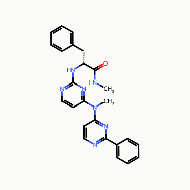 CNC(=O)[C@@H](Cc1ccccc1)Nc1nccc(N(C)c2ccnc(-c3ccccc3)n2)n1